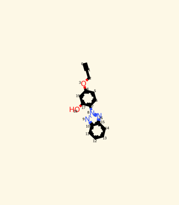 C#CCOc1ccc(-n2nc3ccccc3n2)c(O)c1